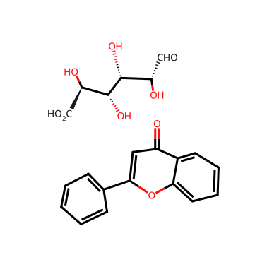 O=C[C@H](O)[C@@H](O)[C@H](O)[C@H](O)C(=O)O.O=c1cc(-c2ccccc2)oc2ccccc12